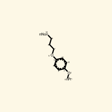 CC[CH]Oc1ccc(OCCCCCCCCCCCC)cc1